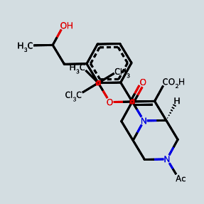 CC(=O)N1CC2CC(c3cccc(CC(C)O)c3)=C(C(=O)O)[C@@H](C1)N2C(=O)OC(C)(C)C(Cl)(Cl)Cl